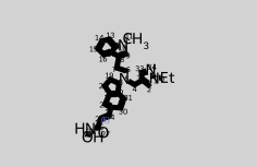 CCn1cc(CN(CCc2cn(C)c3ccccc23)C2CCc3cc(/C=C/C(=O)NO)ccc32)cn1